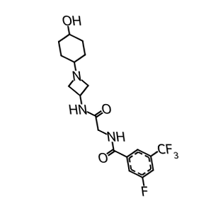 O=C(CNC(=O)c1cc(F)cc(C(F)(F)F)c1)NC1CN(C2CCC(O)CC2)C1